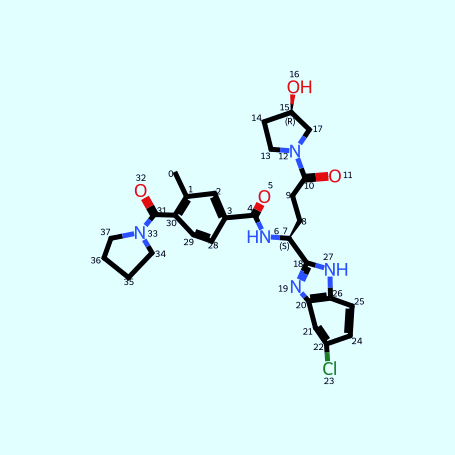 Cc1cc(C(=O)N[C@@H](CCC(=O)N2CC[C@@H](O)C2)c2nc3cc(Cl)ccc3[nH]2)ccc1C(=O)N1CCCC1